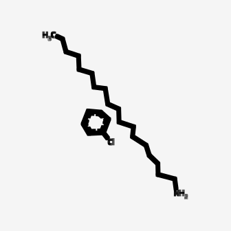 CCCCCCCCCCCCCCCCCCN.Clc1ccccc1